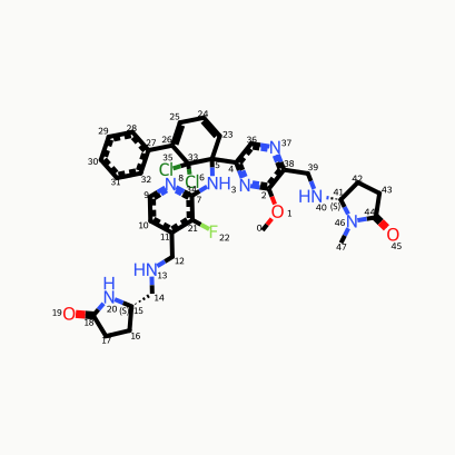 COc1nc(C2(Nc3nccc(CNC[C@@H]4CCC(=O)N4)c3F)C=CC=C(c3ccccc3)C2(Cl)Cl)cnc1CN[C@@H]1CCC(=O)N1C